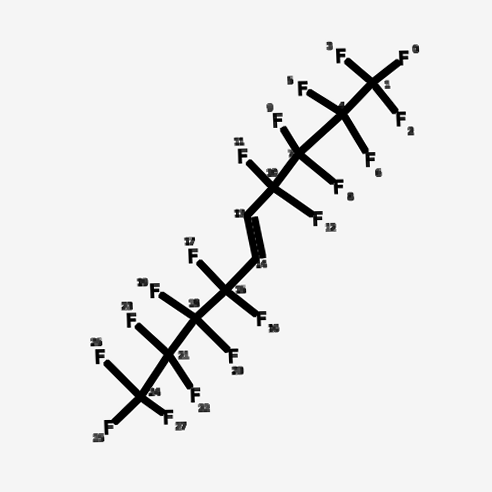 FC(F)(F)C(F)(F)C(F)(F)C(F)(F)C=CC(F)(F)C(F)(F)C(F)(F)C(F)(F)F